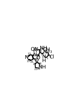 CN1CC(Cl)CNC1C(C(=O)Nc1cnccc1O[C@@H]1CCCNC1)C(N)N=O